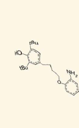 CC(C)(C)c1cc(CCCOc2ccccc2N)cc(C(C)(C)C)c1O